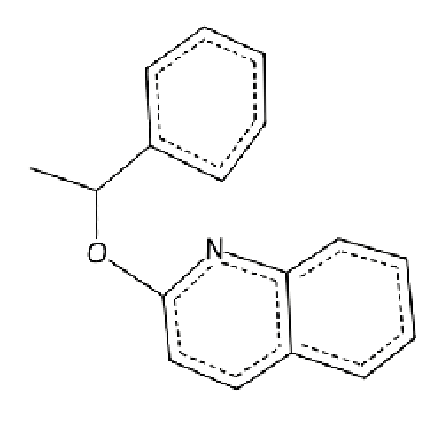 CC(Oc1ccc2ccccc2n1)c1ccccc1